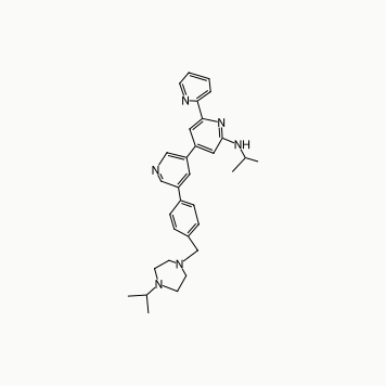 CC(C)Nc1cc(-c2cncc(-c3ccc(CN4CCN(C(C)C)CC4)cc3)c2)cc(-c2ccccn2)n1